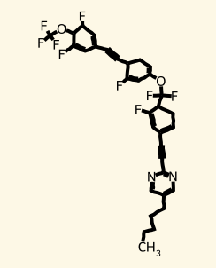 CCCCCc1cnc(C#CC2=CCC(C(F)(F)OC3=CCC(C#CC4=CC(F)C(OC(F)(F)F)C(F)=C4)C(F)=C3)C(F)=C2)nc1